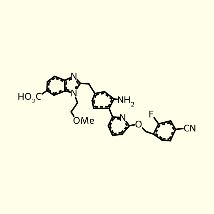 COCCn1c(Cc2ccc(-c3cccc(OCc4ccc(C#N)cc4F)n3)c(N)c2)nc2ccc(C(=O)O)cc21